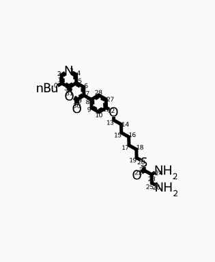 CCCCc1cncc2cc(-c3ccc(OCCCCCCCSC(=O)C(N)CN)cc3)c(=O)oc12